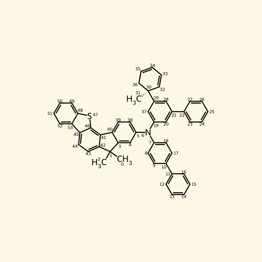 CC1(C)c2cc(N(c3ccc(-c4ccccc4)cc3)c3cc(-c4ccccc4)cc([C@]4(C)C=CC=CC4)c3)ccc2-c2c1ccc1c2sc2ccccc21